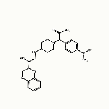 C[S+]([O-])c1ccc(C(C(N)=O)N2CCC(NCC(O)C3COc4ccccc4O3)CC2)cc1